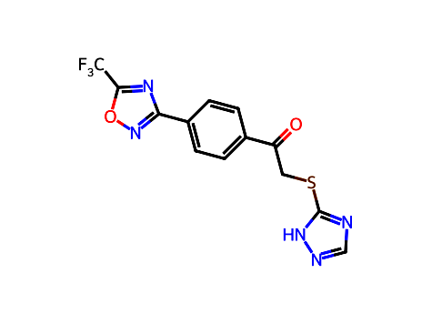 O=C(CSc1ncn[nH]1)c1ccc(-c2noc(C(F)(F)F)n2)cc1